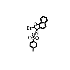 CCC1Oc2c(ccc3ccccc23)/C1=N/OS(=O)(=O)C1=CC=C(C)CC1